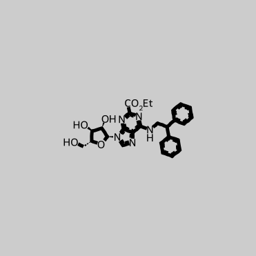 CCOC(=O)c1nc(NCC(c2ccccc2)c2ccccc2)c2ncn([C@@H]3O[C@H](CO)[C@@H](O)[C@@H]3O)c2n1